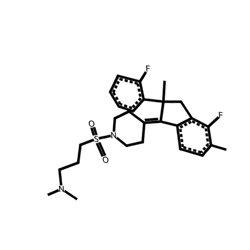 Cc1ccc2c(c1F)CC(C)(c1ccccc1F)C2=C1CCN(S(=O)(=O)CCCN(C)C)CC1